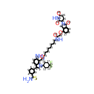 NC(=S)c1cccc(-c2cn(C3CCC(F)(F)CC3)c3c(COCCCCCCCCNC(=O)COc4cccc5c4CN(C4CCC(=O)NC4=O)C5=O)c(N)ccc23)c1